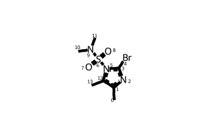 Cc1nc(Br)n(S(=O)(=O)N(C)C)c1C